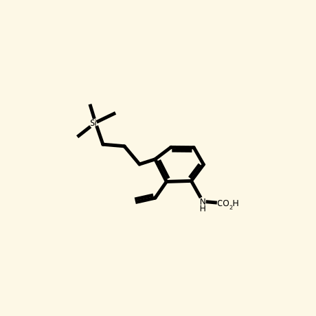 C=Cc1c(CCC[Si](C)(C)C)cccc1NC(=O)O